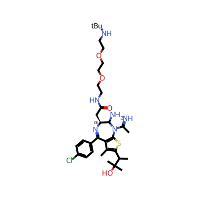 CC(=N)N1c2sc(C(C)C(C)(C)O)c(C)c2C(c2ccc(Cl)cc2)=N[C@@H](CC(=O)NCCOCCOCCNC(C)(C)C)C1N